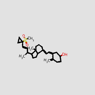 C=C1CCC(O)C/C1=C/C=C1\CCCC2(C)C1CCC2C(C)/C=C/C1(S(C)(=O)=O)CC1